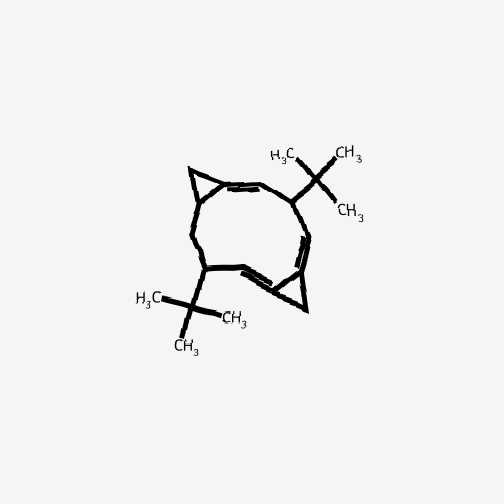 CC(C)(C)C1/C=C2/C/C2=C\C(C(C)(C)C)CC2C/C2=C/1